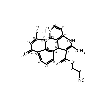 [C-]#[N+]CCOC(=O)C1=C(C)Nc2cc[nH]c(=O)c2C1c1cccc2c(=O)cc(C)oc12